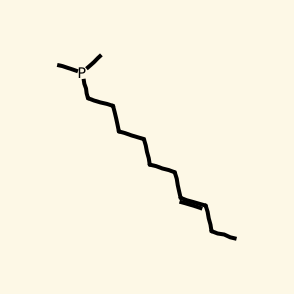 CCC=CCCCCCCP(C)C